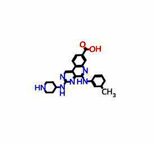 CC1C=C(Nc2nc3cc(C(=O)O)ccc3c3cnc(NC4CCNCC4)nc23)C=CC1